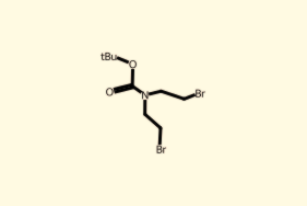 CC(C)(C)OC(=O)N(CCBr)CCBr